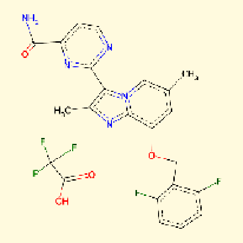 Cc1cc(OCc2c(F)cccc2F)c2nc(C)c(-c3nccc(C(N)=O)n3)n2c1.O=C(O)C(F)(F)F